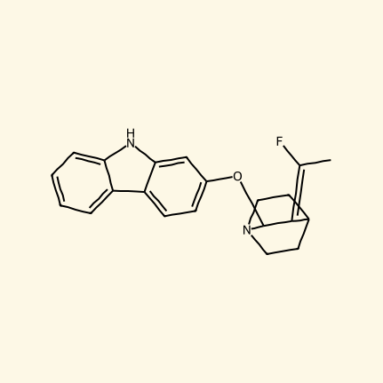 CC(F)=C1C2CCN(CC2)C1Oc1ccc2c(c1)[nH]c1ccccc12